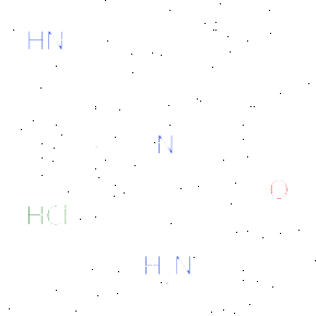 Cl.NC(=O)N1CC2CC1CN2